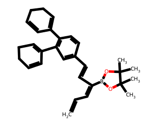 C=C/C=C(\C=C\c1ccc(C2=CCCC=C2)c(C2=CCCC=C2)c1)B1OC(C)(C)C(C)(C)O1